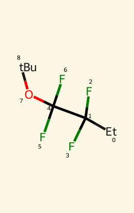 CCC(F)(F)C(F)(F)OC(C)(C)C